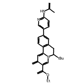 C=C(C)Nc1ccc(-c2ccc3c(c2)CC(C(C)(C)C)N2C=C(C(=C)OCC)C(=C)C=C32)cn1